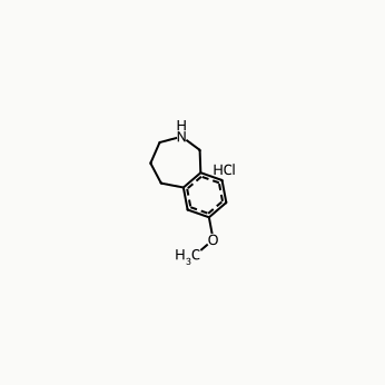 COc1ccc2c(c1)CCCNC2.Cl